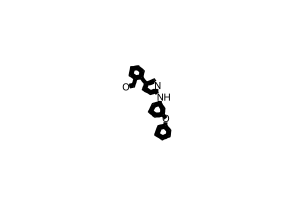 O=Cc1ccccc1-c1ccc(Nc2cccc(Oc3ccccc3)c2)nc1